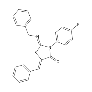 O=C1/C(=C/c2ccccc2)S/C(=N\Cc2ccccc2)N1c1ccc(F)cc1